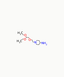 CCOC(COCCN1CCC(N)CC1)OCC